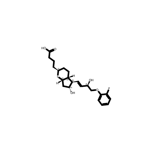 O=C(O)CCC[C@H]1CC[C@@H]2[C@@H](C=C[C@@H](O)COc3ccccc3F)[C@H](O)C[C@@H]2S1